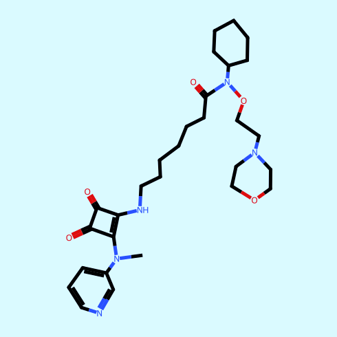 CN(c1cccnc1)c1c(NCCCCCCC(=O)N(OCCN2CCOCC2)C2CCCCC2)c(=O)c1=O